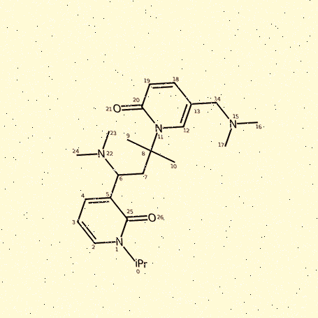 CC(C)n1cccc(C(CC(C)(C)n2cc(CN(C)C)ccc2=O)N(C)C)c1=O